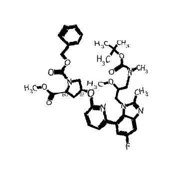 COC(=O)[C@@H]1C[C@H](Oc2cccc(-c3cc(F)cc4nc(C)n(CC(CN(C)C(=O)OC(C)(C)C)OC)c34)n2)CN1C(=O)OCc1ccccc1